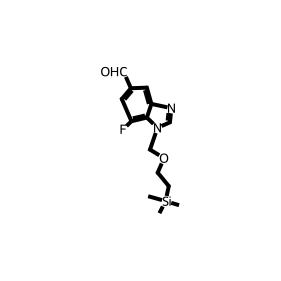 C[Si](C)(C)CCOCn1cnc2cc(C=O)cc(F)c21